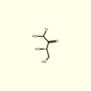 [2H]C(O)C(=O)[C@H](O)CO